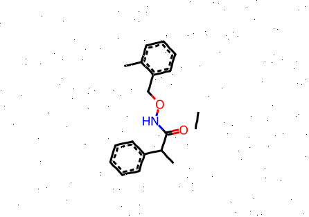 CC.Cc1ccccc1CONC(=O)C(C)c1ccccc1